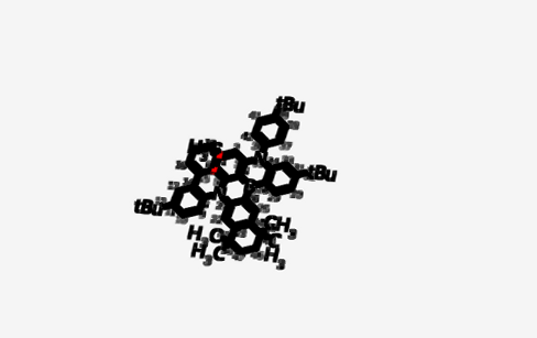 Cc1cc2c3c(c1)N(c1ccc(C(C)(C)C)cc1-c1ccccc1)c1cc4c(cc1B3c1ccc(C(C)(C)C)cc1N2c1ccc(C(C)(C)C)cc1)C(C)(C)CCC4(C)C